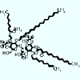 CCCCCCCCCCCCCCCCC=CO[C@H]1[C@H](OC[C@H]2O[C@H](OP(=O)(O)O)[C@@H](NC(=O)CC(=O)CCCCCCCCCCC)[C@@H](OCCCCCCCCCC)[C@@H]2OP(=O)(O)O)O[C@H](CO)[C@@H](OP(=O)(O)O)[C@@H]1OCC[C@H](CCCCCCC)OC